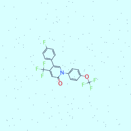 O=c1cc(C(F)(F)F)c(-c2ccc(F)cc2)cn1-c1ccc(OC(F)(F)F)cc1